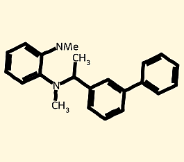 CNc1ccccc1N(C)C(C)c1cccc(-c2ccccc2)c1